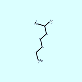 CC(=O)OCCCCC(C(C)=O)C(C)=O